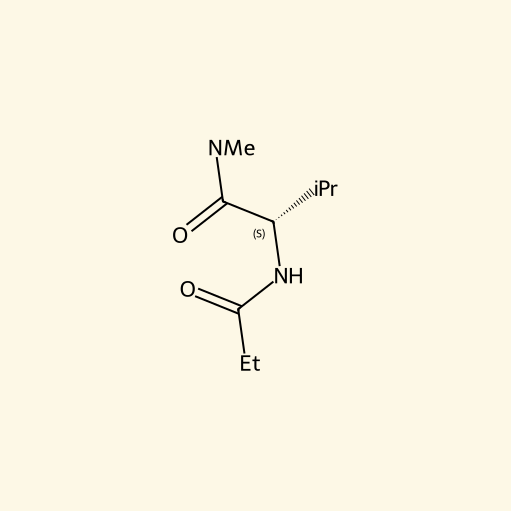 CCC(=O)N[C@H](C(=O)NC)C(C)C